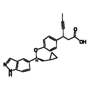 CC#CC(CC(=O)O)c1ccc(O[C@@H](CC2CC2)c2ccc3[nH]ncc3c2)cc1